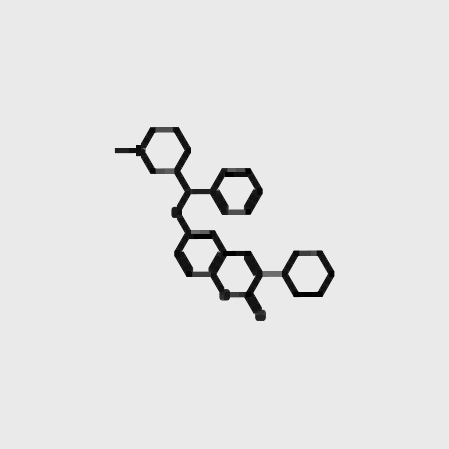 CN1CCCC(C(Oc2ccc3oc(=O)c(C4CCCCC4)cc3c2)c2ccccc2)C1